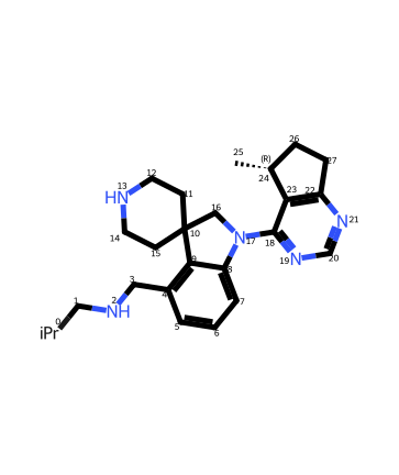 CC(C)CNCc1cccc2c1C1(CCNCC1)CN2c1ncnc2c1[C@H](C)CC2